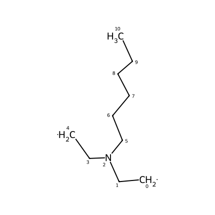 [CH2]CN(C[CH2])CCCCCC